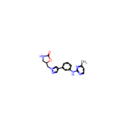 Cc1ccnc(Nc2cccc(-c3cnn(CC4CNC(=O)O4)c3)c2)n1